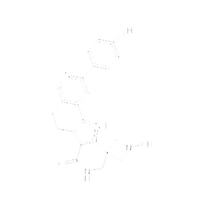 Cc1ccc(-c2cc3c(cn2)CCc2c-3[nH]c3c2C(=O)NCC32CN(C)C2)cc1